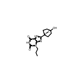 CCCn1c(=O)[nH]c(=O)c2[nH]c(C34CCC(O)(CC3)CC4)nc21